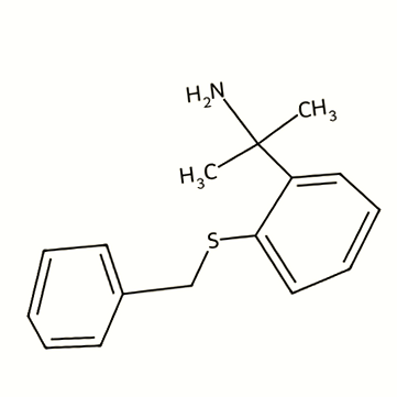 CC(C)(N)c1ccccc1SCc1ccccc1